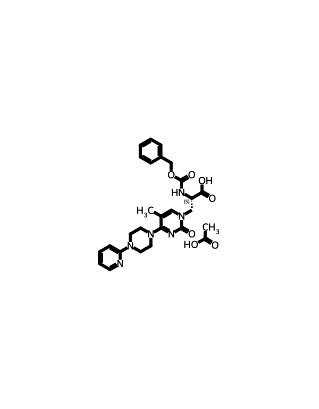 CC(=O)O.Cc1cn(C[C@H](NC(=O)OCc2ccccc2)C(=O)O)c(=O)nc1N1CCN(c2ccccn2)CC1